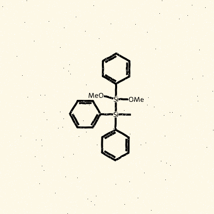 CO[Si](OC)(c1ccccc1)[Si](C)(c1ccccc1)c1ccccc1